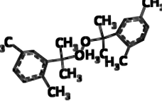 Cc1ccc(C)c(C(C)(C)OOC(C)(C)c2cc(C)ccc2C)c1